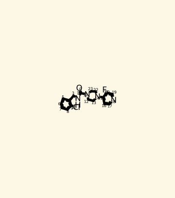 O=C(NCc1ccccc1Cl)N1CCN(c2ccncc2F)CC1